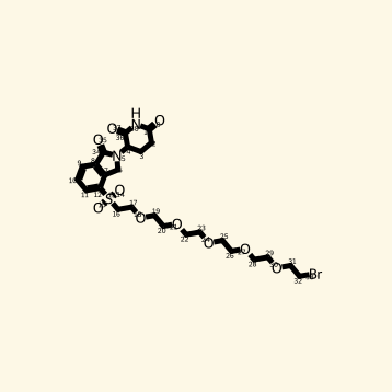 O=C1CCC(N2Cc3c(cccc3S(=O)(=O)CCOCCOCCOCCOCCOCCBr)C2=O)C(=O)N1